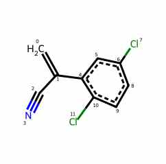 C=C(C#N)c1cc(Cl)ccc1Cl